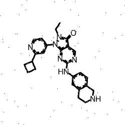 CCn1c(=O)c2cnc(Nc3ccc4c(c3)CCNC4)nc2n1-c1ccnc(C2CCC2)c1